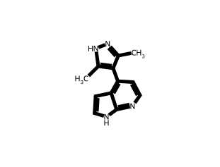 Cc1n[nH]c(C)c1-c1ccnc2[nH]ccc12